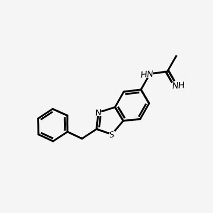 CC(=N)Nc1ccc2sc(Cc3ccccc3)nc2c1